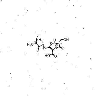 C[C@@H](N)C(=O)NCC1=C(C(=O)O)N2C(=O)[C@H](CO)[C@H]2S1